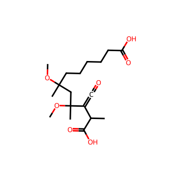 COC(C)(CCCCCC(=O)O)CC(C)(OC)C(=C=O)C(C)C(=O)O